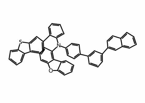 c1cc(-c2ccc(N(c3ccccc3-c3ccc4c(c3)sc3ccccc34)c3cccc4oc5ccccc5c34)cc2)cc(-c2ccc3ccccc3c2)c1